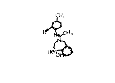 CC(=Nc1ccc(C)cc1C#N)N1CCS(O)(O)c2ccccc2C1